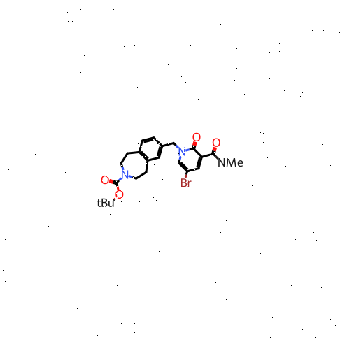 CNC(=O)c1cc(Br)cn(Cc2ccc3c(c2)CCN(C(=O)OC(C)(C)C)CC3)c1=O